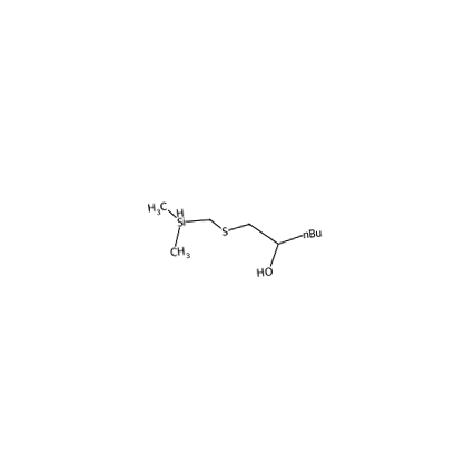 CCCCC(O)CSC[SiH](C)C